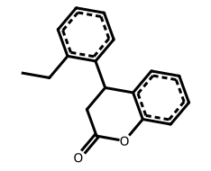 CCc1ccccc1C1CC(=O)Oc2ccccc21